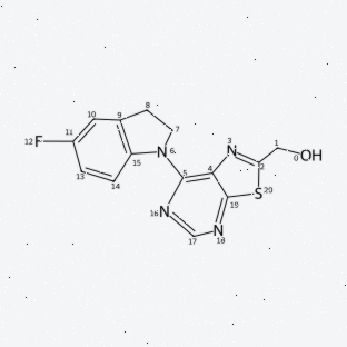 OCc1nc2c(N3CCc4cc(F)ccc43)ncnc2s1